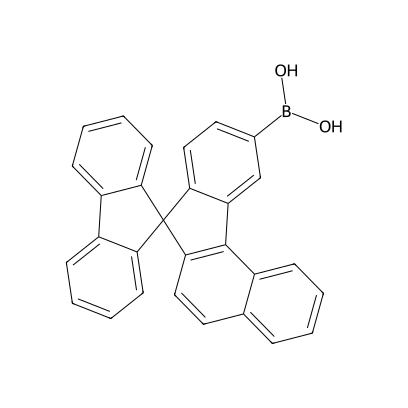 OB(O)c1ccc2c(c1)-c1c(ccc3ccccc13)C21c2ccccc2-c2ccccc21